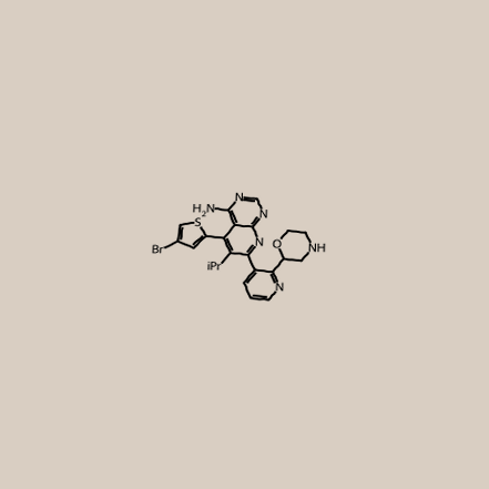 CC(C)c1c(-c2cccnc2C2CNCCO2)nc2ncnc(N)c2c1-c1cc(Br)cs1